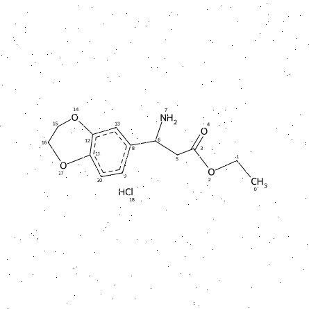 CCOC(=O)CC(N)c1ccc2c(c1)OCCO2.Cl